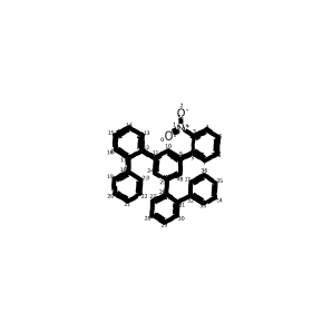 O=[N+]([O-])c1ccccc1-c1cc(-c2ccccc2-c2ccccc2)cc(-c2ccccc2-c2ccccc2)c1